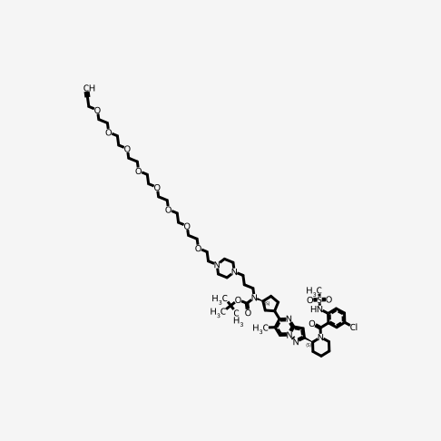 C#CCOCCOCCOCCOCCOCCOCCOCCOCCN1CCN(CCCN(C(=O)OC(C)(C)C)[C@H]2CCC(c3nc4cc([C@@H]5CCCCN5C(=O)c5cc(Cl)ccc5NS(C)(=O)=O)nn4cc3C)C2)CC1